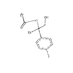 C=C(CC)OC(CC)(CO)c1ccc(F)cc1